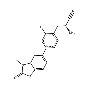 CN1C(=O)OC2=CC=C(c3ccc(C[C@H](N)C#N)c(F)c3)CC21